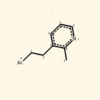 CC(=O)CCc1cccnc1C